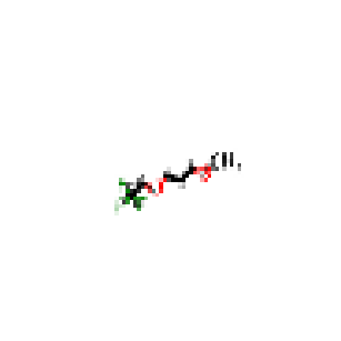 COCCCOCC(F)(F)F